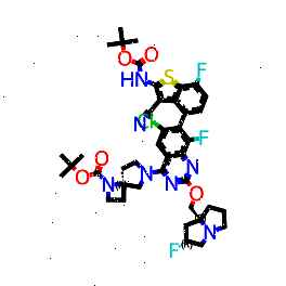 CC(C)(C)OC(=O)Nc1sc2c(F)ccc(-c3c(Cl)cc4c(N5CC[C@@]6(CCN6C(=O)OC(C)(C)C)C5)nc(OC[C@@]56CCCN5C[C@H](F)C6)nc4c3F)c2c1C#N